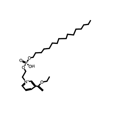 C=C(OCC)c1ccc[n+](CCOP(=O)(O)OCCCCCCCCCCCCCCCC)c1